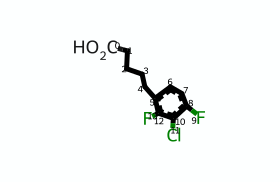 O=C(O)CCCCc1ccc(F)c(Cl)c1F